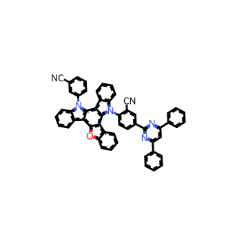 N#Cc1cccc(-n2c3ccccc3c3c4oc5ccccc5c4c4c(c5ccccc5n4-c4ccc(-c5nc(-c6ccccc6)cc(-c6ccccc6)n5)cc4C#N)c32)c1